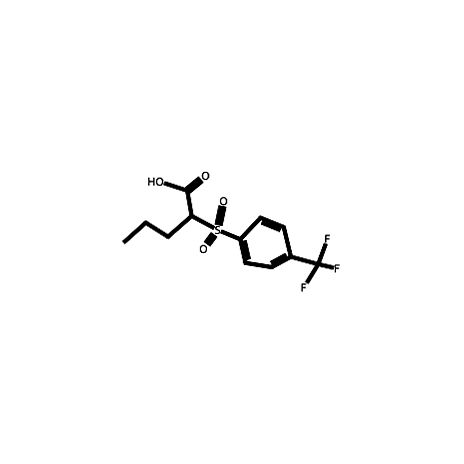 CCCC(C(=O)O)S(=O)(=O)c1ccc(C(F)(F)F)cc1